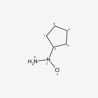 NN(Cl)C1CCCC1